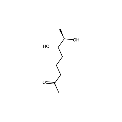 CC(=O)CCC[C@H](O)[C@@H](C)O